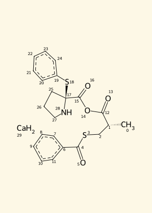 C[C@H](CSC(=O)c1ccccc1)C(=O)OC(=O)[C@@]1(Sc2ccccc2)CCCN1.[CaH2]